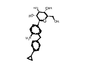 Nc1ccc([C@@H]2O[C@H](CO)[C@@H](O)[C@H](O)[C@H]2O)cc1Cc1ccc(C2CC2)cc1